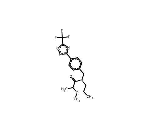 CCCN(Cc1ccc(-c2noc(C(F)(F)F)n2)cc1)C(=O)C(C)OC